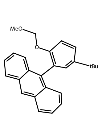 COCOc1ccc(C(C)(C)C)cc1-c1c2ccccc2cc2ccccc12